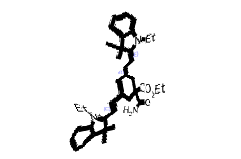 CCOC(=O)C1(C(N)=O)CC(/C=C/C2=[N+](CC)c3ccccc3C2(C)C)=CC(=C/C=C2/N(CC)c3ccccc3C2(C)C)/C1